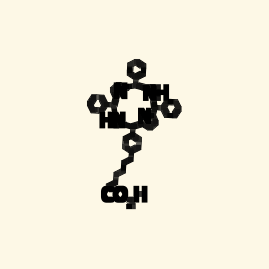 O=C(O)CCCCCCc1ccc(-c2c3nc(c(-c4ccccc4)c4ccc([nH]4)c(-c4ccccc4)c4nc(c(-c5ccccc5)c5ccc2[nH]5)C=C4)C=C3)cc1